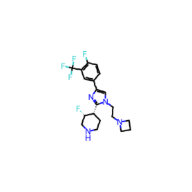 Fc1ccc(-c2cn(CCN3CCC3)c([C@@H]3CCNC[C@@H]3F)n2)cc1C(F)(F)F